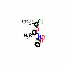 Bc1ccc(Oc2cc(Cl)cc(CC(=O)O)c2)c(CN2C(=O)O[C@@H](c3ccccc3)[C@H]2C)c1